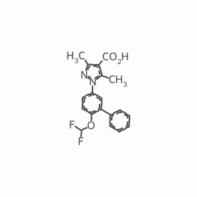 Cc1nn(-c2ccc(OC(F)F)c(-c3ccccc3)c2)c(C)c1C(=O)O